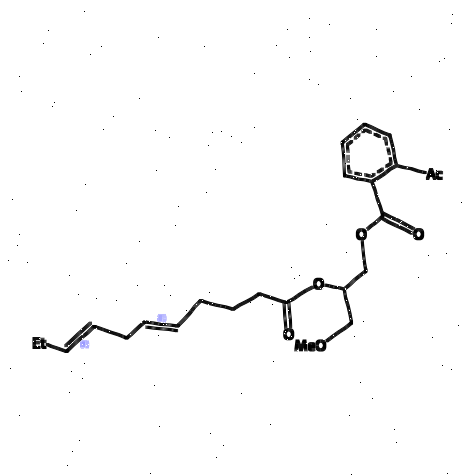 CC/C=C/C/C=C/CCCC(=O)OC(COC)COC(=O)c1ccccc1C(C)=O